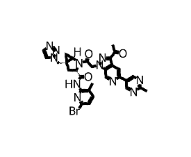 CC(=O)c1nn(CC(=O)N2[C@H](C(=O)Nc3nc(Br)ccc3C)C[C@@]3(Cn4ccnn4)C[C@@H]23)c2cnc(-c3cnc(C)nc3)cc12